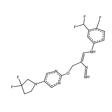 N=N/C(=C\Nc1ccc(F)c(C(F)F)c1)COc1ncc(N2CCC(F)(F)C2)cn1